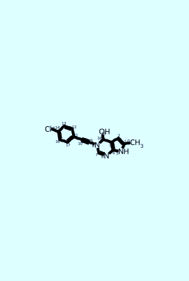 Cc1cc2c([nH]1)N=CN(C#Cc1ccc(Cl)cc1)C2O